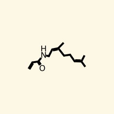 C=CC(=O)NCC=C(C)CCC=C(C)C